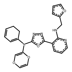 C1=CCCC(N(C2=COC=CO2)c2nnc(-c3cccnc3NCc3ccco3)o2)=C1